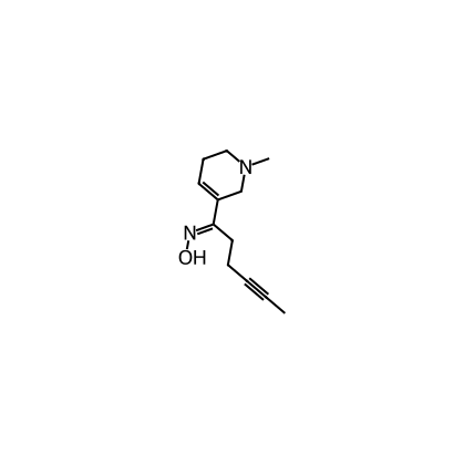 CC#CCC/C(=N\O)C1=CCCN(C)C1